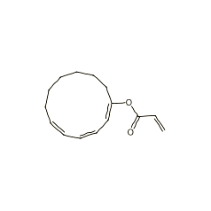 C=CC(=O)OC1=CC=CC=CCCCCCC1